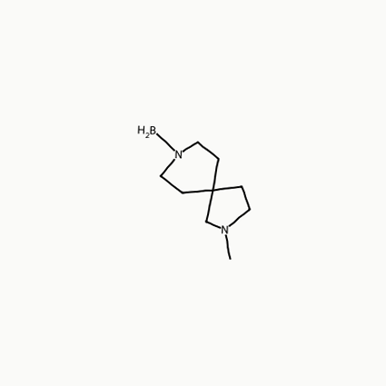 BN1CCC2(CC1)CCN(C)C2